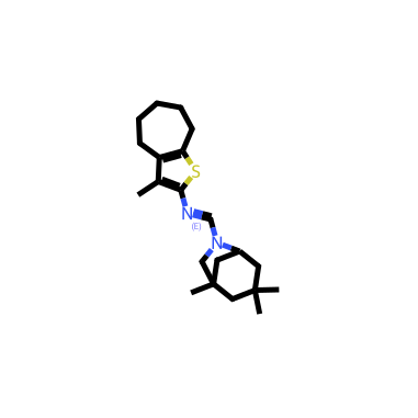 Cc1c(/N=C/N2CC3(C)CC2CC(C)(C)C3)sc2c1CCCCC2